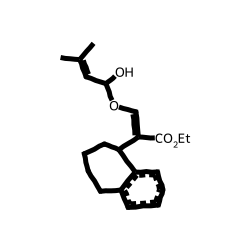 CCOC(=O)/C(=C/OC(O)C=C(C)C)C1CCCCc2ccccc21